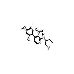 CCC(COC)Nc1nccc(-c2cc(F)c(OC)cc2Cl)c1[N+](=O)[O-]